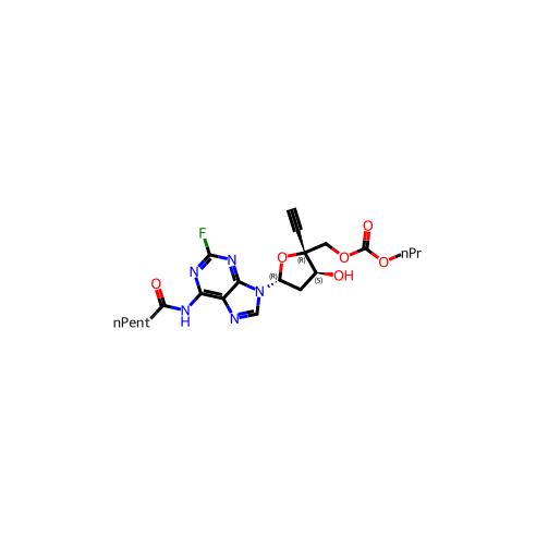 C#C[C@]1(COC(=O)OCCC)O[C@@H](n2cnc3c(NC(=O)CCCCC)nc(F)nc32)C[C@@H]1O